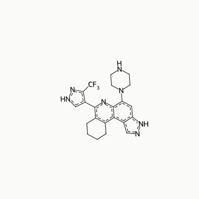 FC(F)(F)c1n[nH]cc1-c1nc2c(N3CCNCC3)cc3[nH]ncc3c2c2c1CCCC2